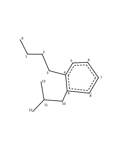 CCCCc1ccc[c]c1CC(C)C